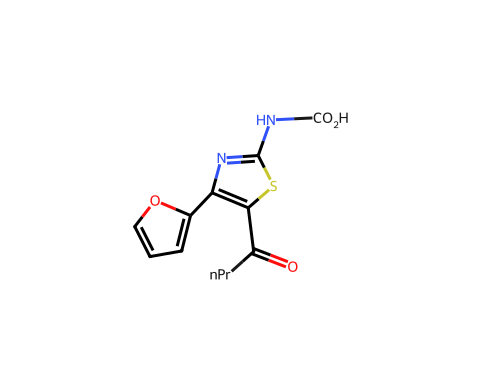 CCCC(=O)c1sc(NC(=O)O)nc1-c1ccco1